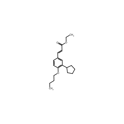 CCCCOc1ccc(C=CC(=O)OCC)cc1C1CCCC1